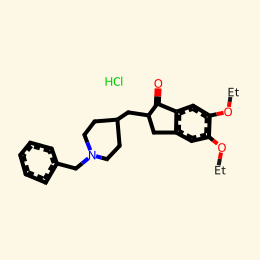 CCOc1cc2c(cc1OCC)C(=O)C(CC1CCN(Cc3ccccc3)CC1)C2.Cl